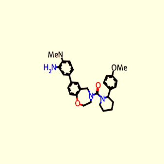 CNc1ccc(-c2ccc3c(c2)CN(C(=O)N2CCCCC2c2ccc(OC)cc2)CCO3)cc1N